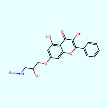 CC(C)(C)NCC(O)COc1cc(O)c2c(=O)c(O)c(-c3ccccc3)oc2c1